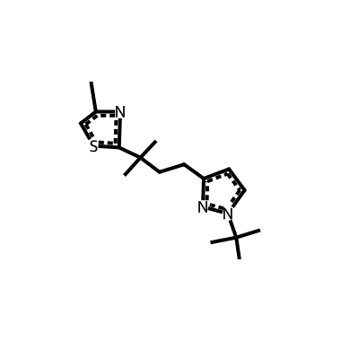 Cc1csc(C(C)(C)CCc2ccn(C(C)(C)C)n2)n1